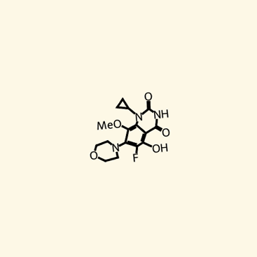 COc1c(N2CCOCC2)c(F)c(O)c2c(=O)[nH]c(=O)n(C3CC3)c12